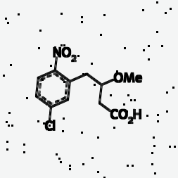 COC(CC(=O)O)Cc1cc(Cl)ccc1[N+](=O)[O-]